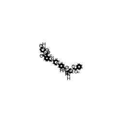 CO[C@@H](C(=O)N1Cc2[nH]nc(NC(=O)c3ccc(N4CCC(N(C)Cc5ccc6c(c5F)C(=O)N(C5CCC(=O)NC5=O)C6=O)CC4)cc3)c2C1)c1ccccc1